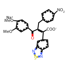 COc1ccc(C(=O)C(Cc2ccc([N+](=O)[O-])cc2)=C(C(=O)[O-])c2ccc3nsnc3c2)cc1OC.[Na+]